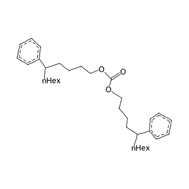 CCCCCCC(CCCCOC(=O)OCCCCC(CCCCCC)c1ccccc1)c1ccccc1